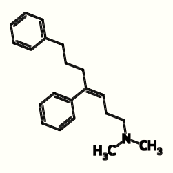 CN(C)CCC=C(CCCc1ccccc1)c1ccccc1